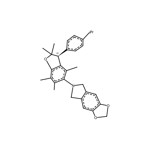 Cc1c(C)c(N2Cc3cc4c(cc3C2)OCO4)c(C)c2c1OC(C)(C)[C@H]2c1ccc(C(C)C)cc1